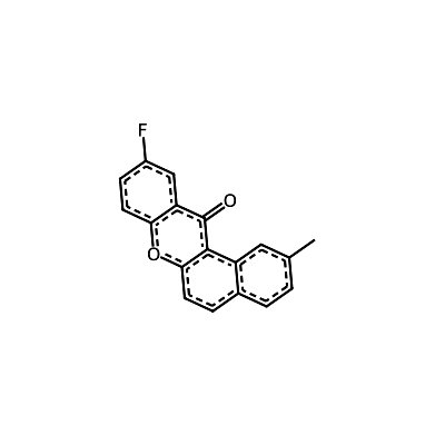 Cc1ccc2ccc3oc4ccc(F)cc4c(=O)c3c2c1